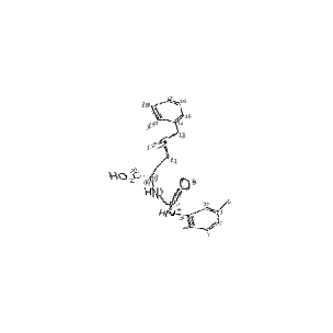 Cc1cccc(NC(=O)N[C@@H](CSCc2ccccc2)C(=O)O)c1